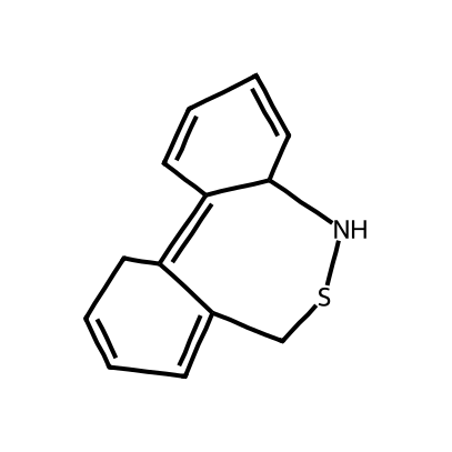 C1=CCC2=C3C=CC=CC3NSCC2=C1